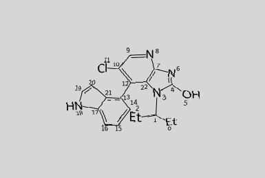 CCC(CC)n1c(O)nc2ncc(Cl)c(-c3cccc4[nH]ccc34)c21